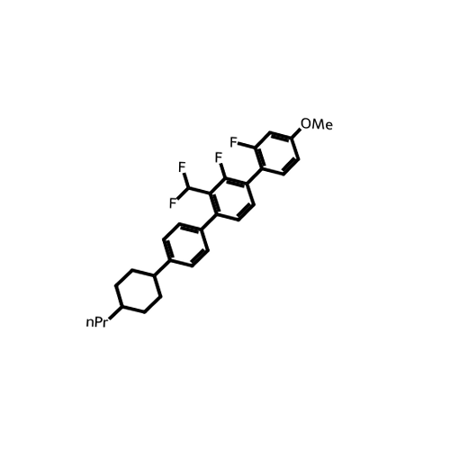 CCCC1CCC(c2ccc(-c3ccc(-c4ccc(OC)cc4F)c(F)c3C(F)F)cc2)CC1